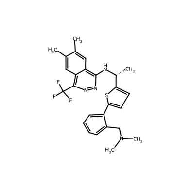 Cc1cc2c(N[C@H](C)c3ccc(-c4ccccc4CN(C)C)s3)nnc(C(F)(F)F)c2cc1C